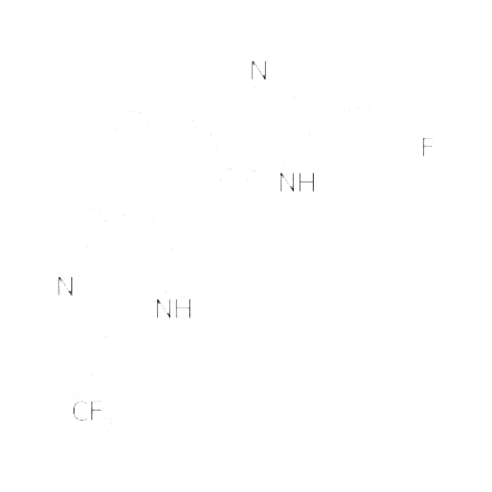 FCc1nc2ccc3nc(C(F)(F)F)[nH]c3c2[nH]1